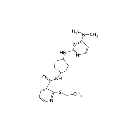 CCSc1ncccc1C(=O)NC1CCC(Nc2nccc(N(C)C)n2)CC1